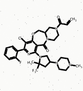 C=CC(=O)N1CCN2C(=O)c3c(N4CC(N5CCN(C)CC5)CC4(C)C(F)(F)F)nc(-c4ccccc4F)c(Cl)c3OCC2C1